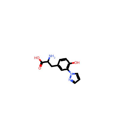 NC(Cc1ccc(O)c(-n2cccn2)c1)C(=O)O